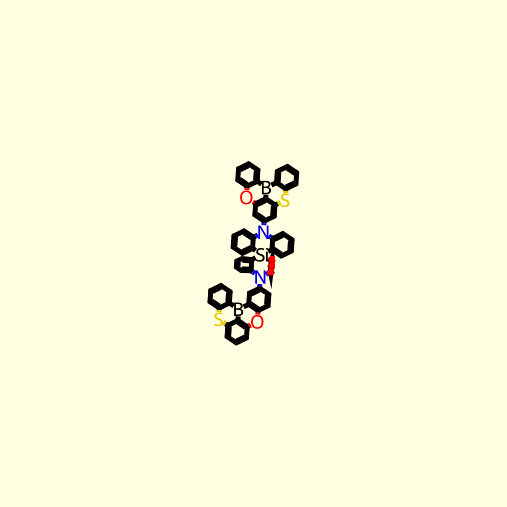 c1ccc2c(c1)Oc1cc(N3c4ccccc4[Si]4(c5ccccc53)c3ccccc3N(c3ccc5c(c3)B3c6ccccc6Sc6cccc(c63)O5)c3ccccc34)cc3c1B2c1ccccc1S3